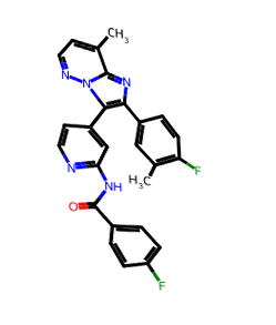 Cc1cc(-c2nc3c(C)ccnn3c2-c2ccnc(NC(=O)c3ccc(F)cc3)c2)ccc1F